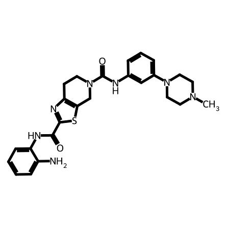 CN1CCN(c2cccc(NC(=O)N3CCc4nc(C(=O)Nc5ccccc5N)sc4C3)c2)CC1